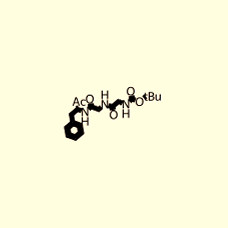 CC(=O)[C@H](Cc1ccccc1)NC(=O)CNC(=O)CNC(=O)OC(C)(C)C